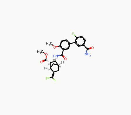 COC(=O)[C@@H]1[C@H](NC(=O)c2cc(-c3cc(C(N)=O)ccc3F)ccc2OC)[C@H]2CC(=C(F)F)[C@@H]1C2